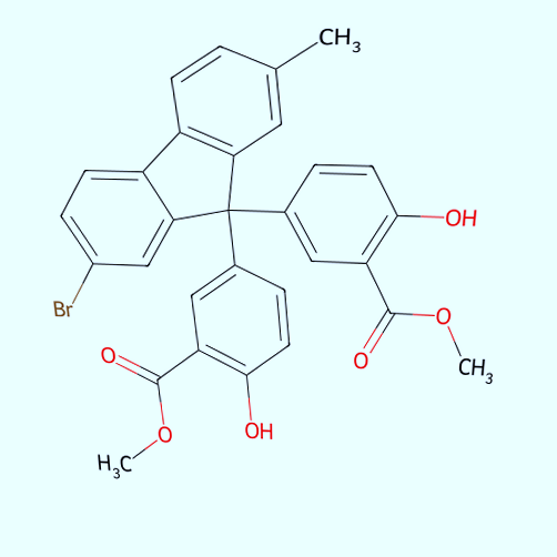 COC(=O)c1cc(C2(c3ccc(O)c(C(=O)OC)c3)c3cc(C)ccc3-c3ccc(Br)cc32)ccc1O